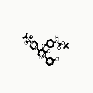 CC(C)S(=O)(=O)N1CCN(c2cnn(-c3cccc(Cl)c3)c(=O)c2OC2CCC(NC(=O)OC(C)(C)C)CC2)CC1